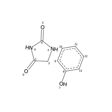 O=C1CNC(=O)N1.Oc1ccccc1